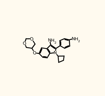 Nc1ccc(-c2c(N)c3cc(OC4COCOC4)ccc3n2C2CCC2)cc1